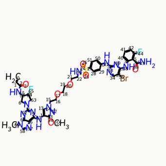 C=CC(=O)N[C@@H]1CN(c2nc(Nc3cn(CCOCCOCCNS(=O)(=O)c4ccc(Nc5ncc(Br)c(Nc6cccc(F)c6C(N)=O)n5)cc4)nc3OC)c3ncn(C)c3n2)C[C@H]1F